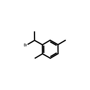 Cc1ccc(C)c(C(C)Br)c1